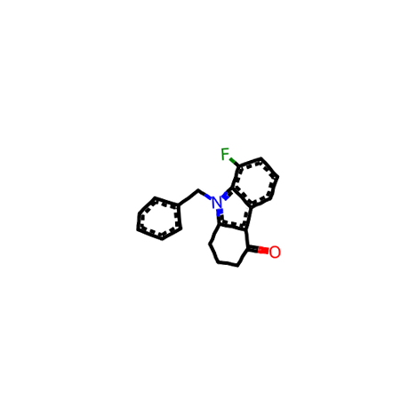 O=C1CCCc2c1c1cccc(F)c1n2Cc1ccccc1